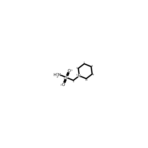 NS(=O)(=O)CN1CCCCC1